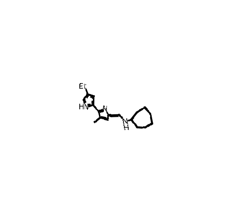 CCc1c[nH]c(C2=NC(=CNC3CCCCCC3)C=C2C)c1